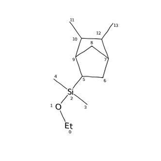 CCO[Si](C)(C)C1CC2CC1C(C)C2C